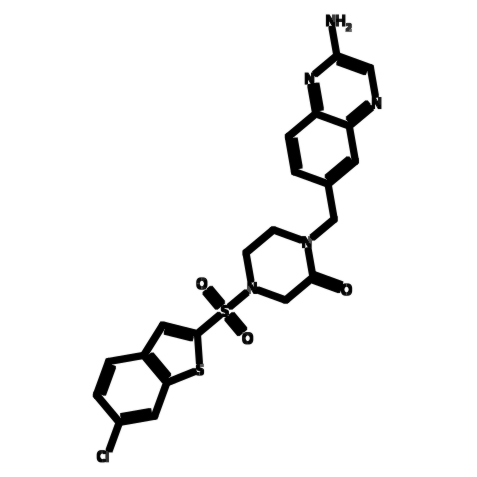 Nc1cnc2cc(CN3CCN(S(=O)(=O)c4cc5ccc(Cl)cc5s4)CC3=O)ccc2n1